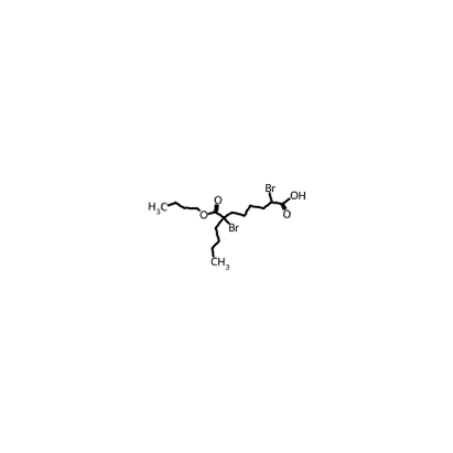 CCCCOC(=O)C(Br)(CCCC)CCCCC(Br)C(=O)O